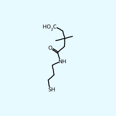 CC(C)(CC(=O)O)CC(=O)NCCCS